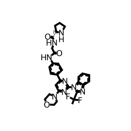 CC(F)(F)c1nc2ccccc2n1-c1nc(-c2ccc(NC(=O)CNC(=O)[C@@H]3CCCN3)cc2)cc(N2CCOCC2)n1